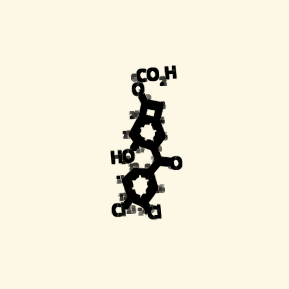 O=C(O)OC1=Cc2cc(C(=O)c3ccc(Cl)c(Cl)c3)c(O)cc21